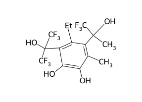 CCc1c(C(C)(O)C(F)(F)F)c(C)c(O)c(O)c1C(O)(C(F)(F)F)C(F)(F)F